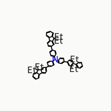 CCc1ccccc1-c1ccc(-c2ccc(N(c3ccc(-c4ccc5c(c4)C(CC)(CC)c4ccccc4-5)cc3)c3ccc(-c4ccc5c(c4)C(CC)(CC)c4ccccc4-5)cc3)cc2)cc1CC